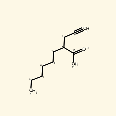 C#CCC(CCCCCC)C(=O)O